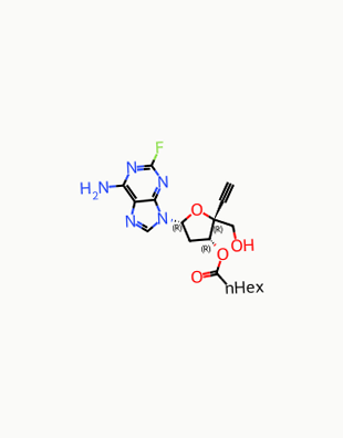 C#C[C@]1(CO)O[C@@H](n2cnc3c(N)nc(F)nc32)C[C@H]1OC(=O)CCCCCC